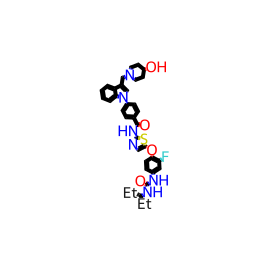 CCC(CC)NC(=O)Nc1ccc(Oc2cnc(NC(=O)c3ccc(-n4cc(CN5CCC(O)CC5)c5ccccc54)cc3)s2)c(F)c1